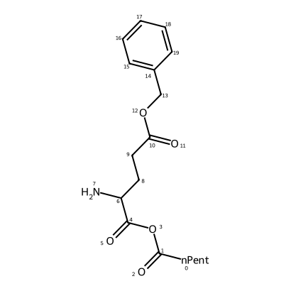 CCCCCC(=O)OC(=O)C(N)CCC(=O)OCc1ccccc1